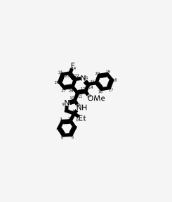 CCC1(c2ccccc2)CN=C(c2c(OC)c(-c3ccccc3)nc3c(F)cccc23)N1